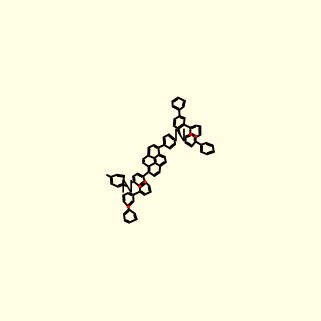 Cc1ccc(N(c2ccc(-c3ccc4ccc5c(-c6ccc(N(c7ccc(-c8ccccc8)cc7)c7ccc(-c8ccccc8)cc7-c7ccccc7)cc6)ccc6ccc3c4c65)cc2)c2ccc(-c3ccccc3)cc2-c2ccccc2)cc1